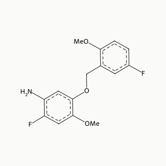 COc1ccc(F)cc1COc1cc(N)c(F)cc1OC